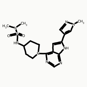 CN(C)S(=O)(=O)NC1CCN(c2ncnc3[nH]c(-c4cnn(C)c4)cc23)CC1